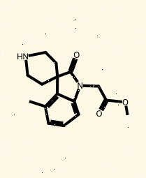 COC(=O)CN1C(=O)C2(CCNCC2)c2c(C)cccc21